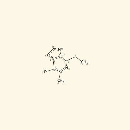 CCc1nc(C)c(F)n2ccnc12